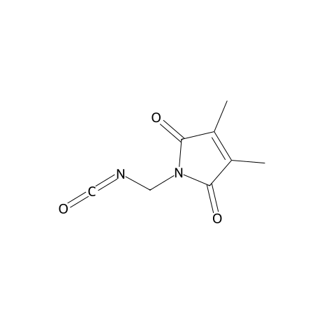 CC1=C(C)C(=O)N(CN=C=O)C1=O